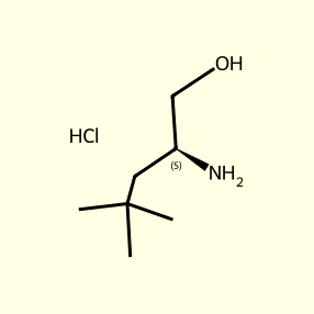 CC(C)(C)C[C@H](N)CO.Cl